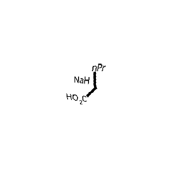 [CH2]CCCC(=O)O.[NaH]